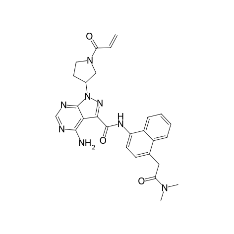 C=CC(=O)N1CCC(n2nc(C(=O)Nc3ccc(CC(=O)N(C)C)c4ccccc34)c3c(N)ncnc32)C1